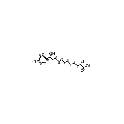 O=C(O)C(Cl)CCCCCCCCCC(O)c1ccc(Cl)cc1